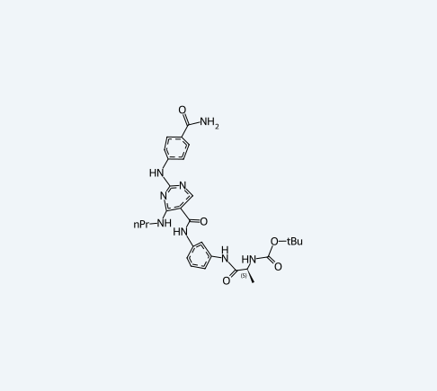 CCCNc1nc(Nc2ccc(C(N)=O)cc2)ncc1C(=O)Nc1cccc(NC(=O)[C@H](C)NC(=O)OC(C)(C)C)c1